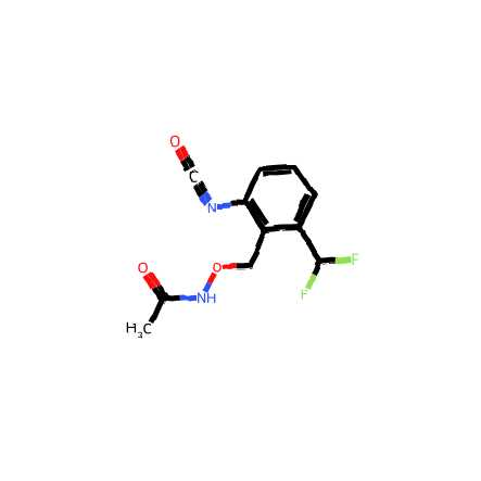 CC(=O)NOCc1c(N=C=O)cccc1C(F)F